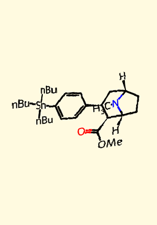 CCC[CH2][Sn]([CH2]CCC)([CH2]CCC)[c]1ccc([C@H]2C[C@@H]3CC[C@H]([C@H]2C(=O)OC)N3C)cc1